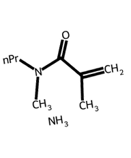 C=C(C)C(=O)N(C)CCC.N